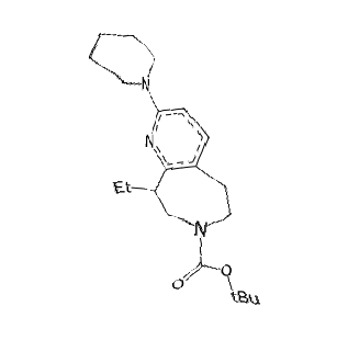 CCC1CN(C(=O)OC(C)(C)C)CCc2ccc(N3CCCCC3)nc21